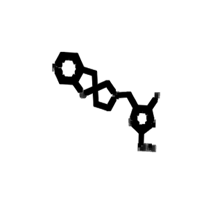 CC(=O)Nc1nc(F)c(CN2CCC3(Cc4ccncc4O3)C2)s1